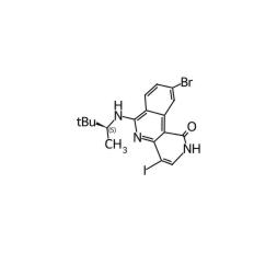 C[C@H](Nc1nc2c(I)c[nH]c(=O)c2c2cc(Br)ccc12)C(C)(C)C